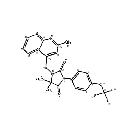 CC1(C)C(=O)N(c2ccc(OC(F)(F)F)cc2)C(=O)N1Cc1cc(O)nc2ccccc12